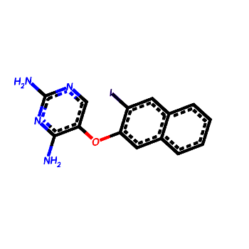 Nc1ncc(Oc2cc3ccccc3cc2I)c(N)n1